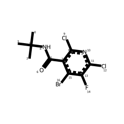 CC(C)(C)NC(=O)c1c(Cl)nc(Cl)c(F)c1Br